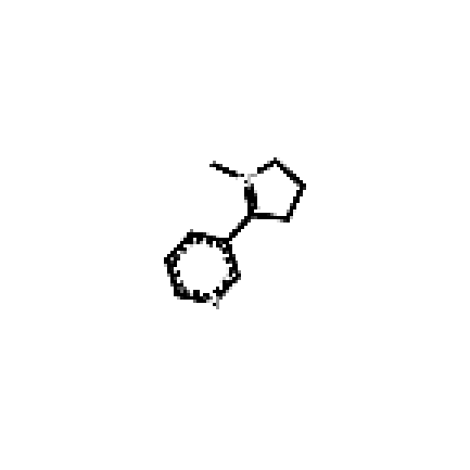 C[N+]1=C(c2cccnc2)CCC1